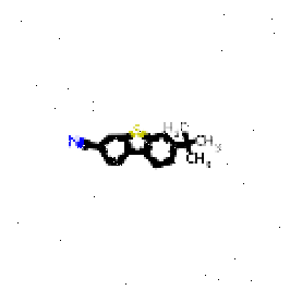 CC(C)(C)c1ccc2c(c1)sc1cc(C#N)ccc12